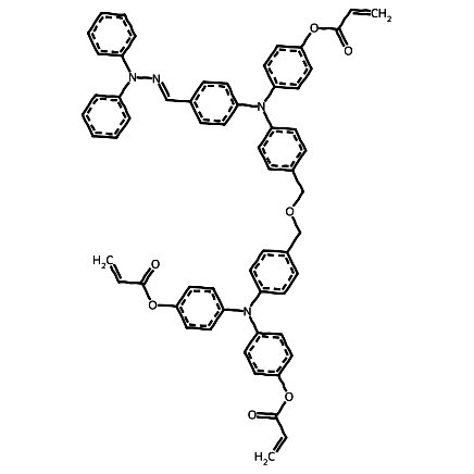 C=CC(=O)Oc1ccc(N(c2ccc(C=NN(c3ccccc3)c3ccccc3)cc2)c2ccc(COCc3ccc(N(c4ccc(OC(=O)C=C)cc4)c4ccc(OC(=O)C=C)cc4)cc3)cc2)cc1